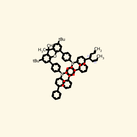 C=C/C=C(\C=C/C)c1ccc(N(c2ccc(-c3ccccc3)cc2)c2ccc(-c3cc(C(C)(C)C)cc4c3Oc3c(-c5ccc(N(c6ccc(-c7ccccc7)cc6)c6ccc(-c7ccccc7)cc6)cc5)cc(C(C)(C)C)cc3C4(C)C)cc2)cc1